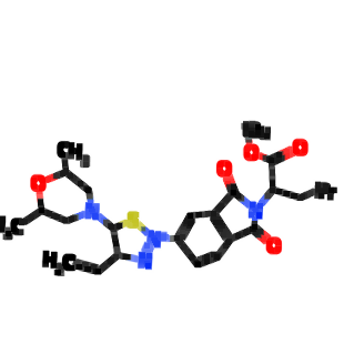 C=CC1N=[N+](c2ccc3c(c2)C(=O)N(C(CC(C)C)C(=O)OC(C)(C)C)C3=O)SC1N1CC(C)OC(C)C1